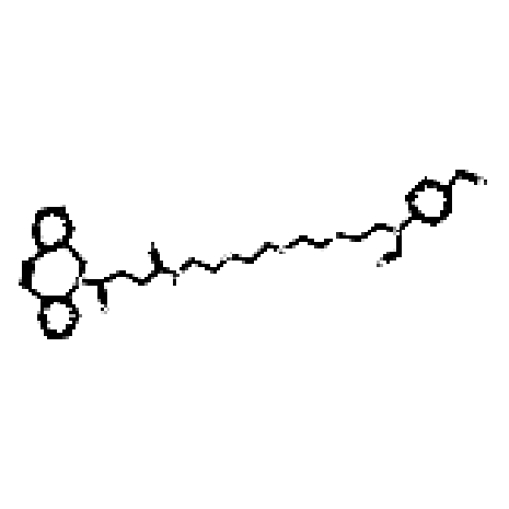 O=Cc1ccc(N(C=O)CCOCCOCCOCCNC(=O)CCC(=O)N2Cc3ccccc3C#Cc3ccccc32)cc1